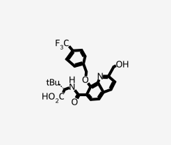 CC(C)(C)[C@H](NC(=O)c1ccc2ccc(CO)nc2c1OCc1ccc(C(F)(F)F)cc1)C(=O)O